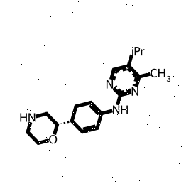 Cc1nc(NC2=CCC([C@H]3CNCCO3)C=C2)ncc1C(C)C